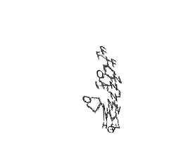 [O-][S@+]1CCc2nc(N3CCN4c5ncc(C(F)(F)F)cc5OC[C@H]4C3)nc(NC3CCOCC3)c21